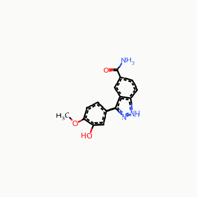 COc1ccc(-c2n[nH]c3ccc(C(N)=O)cc23)cc1O